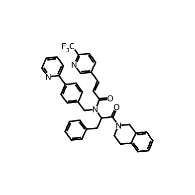 O=C(C(Cc1ccccc1)N(Cc1ccc(-c2ccccn2)cc1)C(=O)C=Cc1ccc(C(F)(F)F)nc1)N1CCc2ccccc2C1